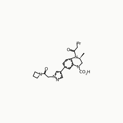 CC(C)CC(=O)N1c2ccc(-c3cnn(CC(=O)N4CCC4)c3)cc2N(C(=O)O)C[C@@H]1C